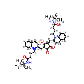 CC(C)(C)NC(=O)CCCN1/C(=C/C2=C(O)C(=C/c3ccc4ccccc4[n+]3CCCC(=O)NC(C)(C)C)/C(=O)C2=O)C=Cc2ccccc21